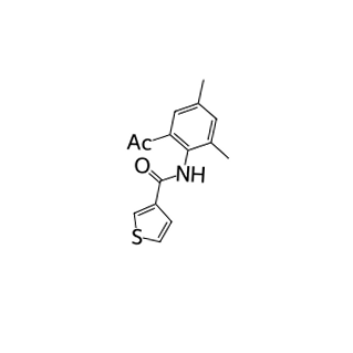 CC(=O)c1cc(C)cc(C)c1NC(=O)c1ccsc1